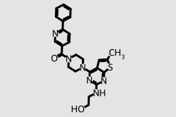 Cc1cc2c(N3CCN(C(=O)c4ccc(-c5ccccc5)nc4)CC3)nc(NCCO)nc2s1